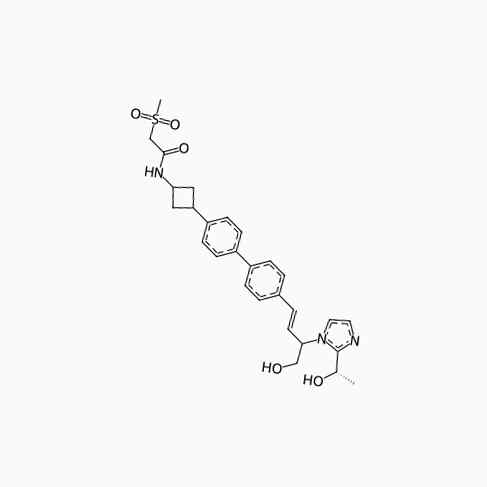 C[C@H](O)c1nccn1C(/C=C/c1ccc(-c2ccc(C3CC(NC(=O)CS(C)(=O)=O)C3)cc2)cc1)CO